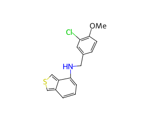 COc1ccc(CNc2cccc3cscc23)cc1Cl